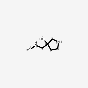 CCCNCC1(O)CCNC1